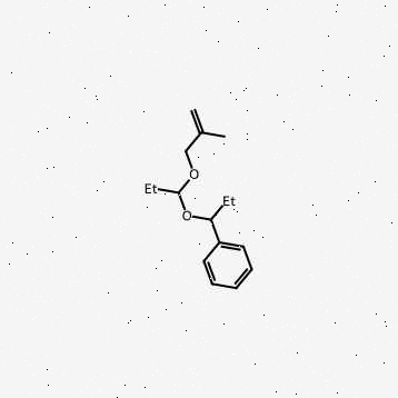 C=C(C)COC(CC)OC(CC)c1ccccc1